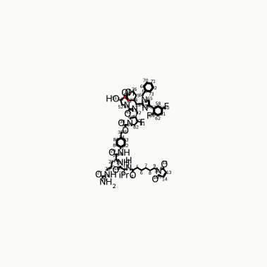 CC(C)[C@H](NC(=O)CCCCCN1C(=O)C=CC1=O)C(=O)N[C@@H](CCCNC(N)=O)C(=O)Nc1ccc(COC(=O)N2C[C@@H](CN(C(=O)N3C[C@@H](O)[C@@H](O)C3)[C@@H](c3nc(-c4cc(F)ccc4F)cn3Cc3ccccc3)C3CCOCC3)[C@@H](F)C2)cc1